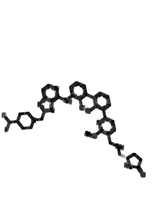 COc1nc(-c2cccc(-c3cccc(Nc4nccc5sc(CN6CCC(C(F)F)CC6)nc45)c3Cl)c2Cl)ccc1CNC[C@@H]1CCC(=O)N1